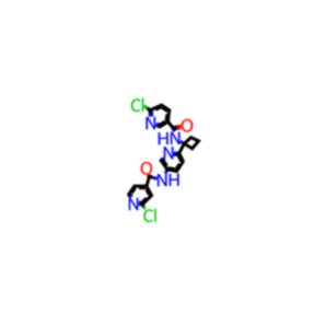 O=C(Nc1ccc(C2(NC(=O)c3ccc(Cl)nc3)CCC2)nc1)c1ccnc(Cl)c1